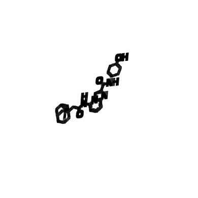 O=C(CC12CC3CC(CC(C3)C1)C2)Nc1cccc2nc(C(=O)N[C@H]3CC[C@H](O)CC3)cn12